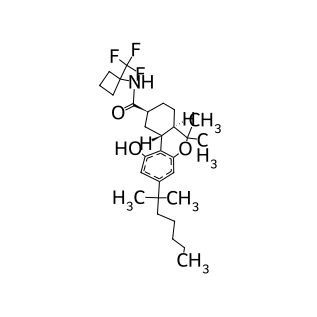 CCCCCC(C)(C)c1cc(O)c2c(c1)OC(C)(C)[C@@H]1CC[C@H](C(=O)NC3(C(F)(F)F)CCC3)C[C@@H]21